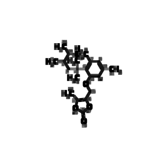 C=C(CC(C)(C)c1c(C)cc(C)cc1OCc1oc(=O)oc1C)C(C)C